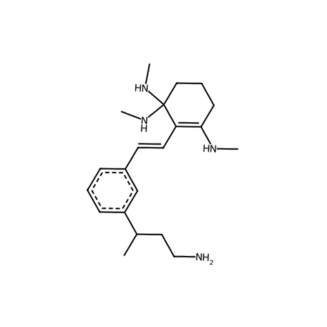 CNC1=C(/C=C/c2cccc(C(C)CCN)c2)C(NC)(NC)CCC1